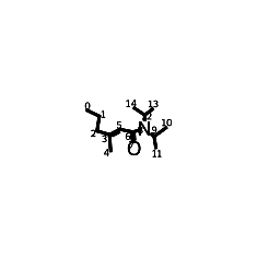 CCCC(C)=CC(=O)N(C(C)C)C(C)C